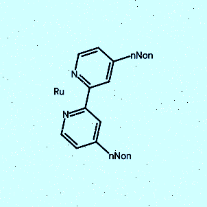 CCCCCCCCCc1ccnc(-c2cc(CCCCCCCCC)ccn2)c1.[Ru]